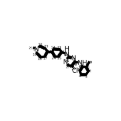 Cc1ccccc1Nc1nc(Nc2ccc(C3=CC=CN(C)C=C3)cc2)ncc1Cl